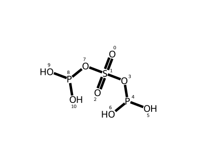 O=S(=O)(OP(O)O)OP(O)O